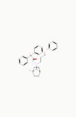 CN(CCCOc1ccccc1)C1C2CC[C@@H]1[C@H](NC(=O)C(O)(c1ccccc1)c1ccccc1)C2